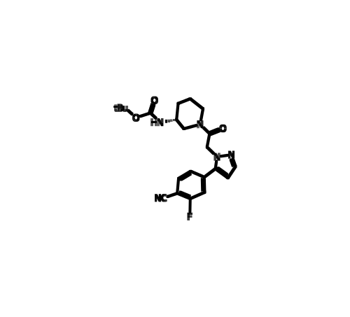 CC(C)(C)OC(=O)N[C@@H]1CCCN(C(=O)Cn2nccc2-c2ccc(C#N)c(F)c2)C1